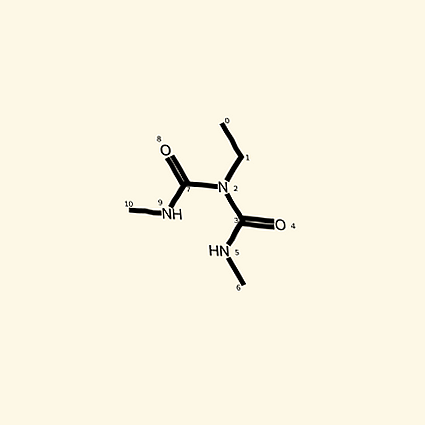 CCN(C(=O)NC)C(=O)NC